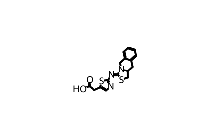 O=C(O)Cc1cnc(N=C2SCC3Cc4ccccc4CN23)s1